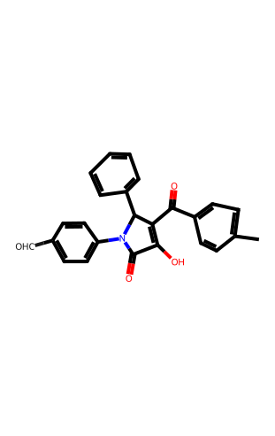 Cc1ccc(C(=O)C2=C(O)C(=O)N(c3ccc(C=O)cc3)C2c2ccccc2)cc1